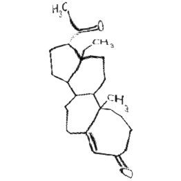 CC(=O)[C@H]1CCC2C3CCC4=CC(=O)CCC4(C)C3CCC21C